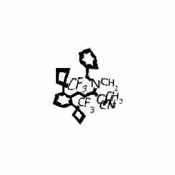 CC#N.CC(CCc1c(C2(C(F)(F)F)CCC2)cccc1C1(C(F)(F)F)CCC1)N(C)Cc1ccccc1